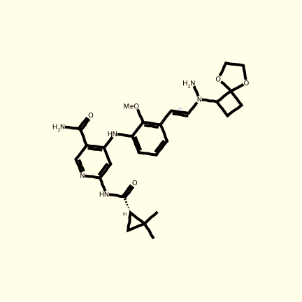 COc1c(/C=C/N(N)C2CCC23OCCO3)cccc1Nc1cc(NC(=O)[C@H]2CC2(C)C)ncc1C(N)=O